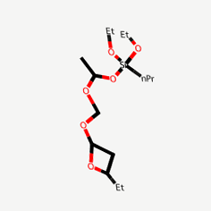 CCC[Si](OCC)(OCC)OC(C)OCOC1CC(CC)O1